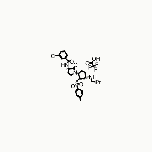 Cc1ccc(S(=O)(=O)C[C@@H]2C[C@H](NCC(C)C)CC[C@@H]2N2CC[C@H](NC(=O)c3cccc(Cl)c3)C2=O)cc1.O=C(O)C(F)(F)F